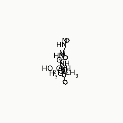 Cc1cc(-c2ccccc2)cc(C)c1S(=O)(=O)NC(CNC(=O)c1cccc2c(CCCNc3ccccn3)n[nH]c12)C(=O)O